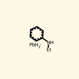 CCNc1ccccc1.[PbH2]